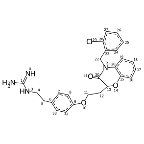 N=C(N)NCCc1ccc(OCCC2Oc3ccccc3N(Cc3ccccc3Cl)C2=O)cc1